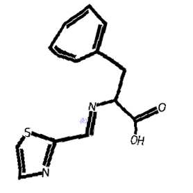 O=C(O)C(Cc1ccccc1)/N=C/c1nccs1